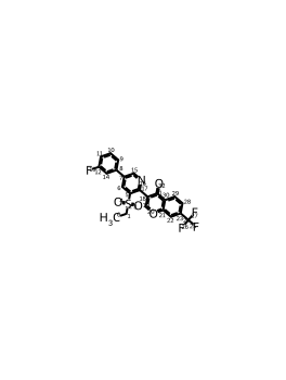 CCS(=O)(=O)c1cc(-c2cccc(F)c2)cnc1-c1coc2cc(C(F)(F)F)ccc2c1=O